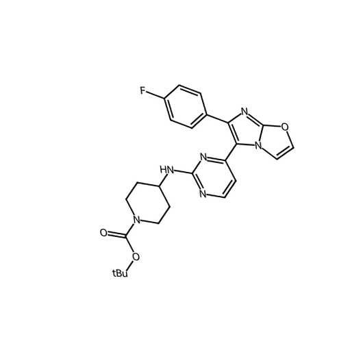 CC(C)(C)OC(=O)N1CCC(Nc2nccc(-c3c(-c4ccc(F)cc4)nc4occn34)n2)CC1